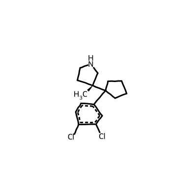 C[C@@]1(C2(c3ccc(Cl)c(Cl)c3)CCCC2)CCNC1